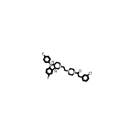 O=C(Cc1cccc(Cl)c1)N1CCN(CCN2CC[C@@H]3[C@@H](C2)c2cc(F)ccc2N3c2ccc(F)cc2)CC1